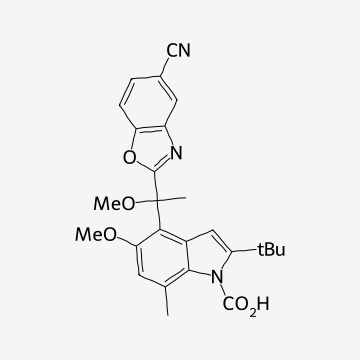 COc1cc(C)c2c(cc(C(C)(C)C)n2C(=O)O)c1C(C)(OC)c1nc2cc(C#N)ccc2o1